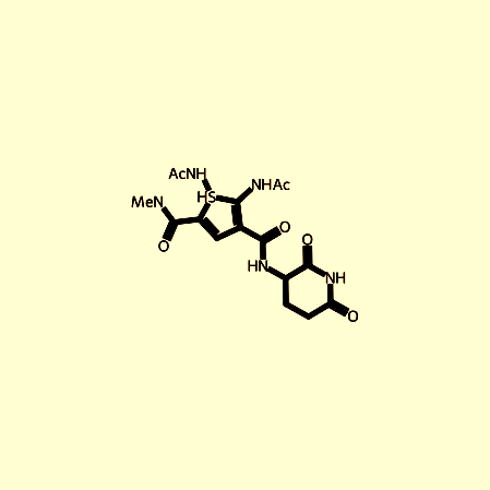 CNC(=O)C1=CC(C(=O)NC2CCC(=O)NC2=O)=C(NC(C)=O)[SH]1NC(C)=O